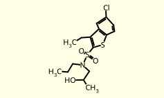 CCCN(CC(C)O)S(=O)(=O)c1sc2ccc(Cl)cc2c1CC